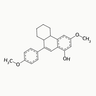 COc1ccc(C2=Cc3c(O)cc(OC)cc3C3CCCCC23)cc1